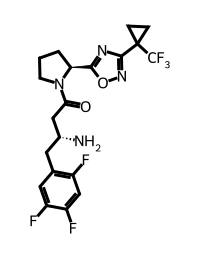 N[C@@H](CC(=O)N1CCC[C@H]1c1nc(C2(C(F)(F)F)CC2)no1)Cc1cc(F)c(F)cc1F